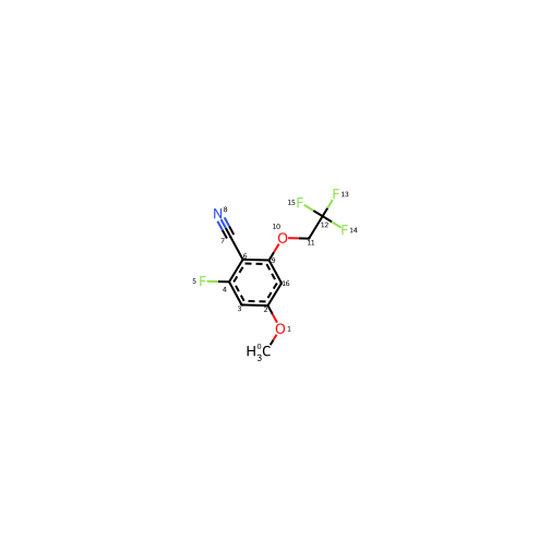 COc1cc(F)c(C#N)c(OCC(F)(F)F)c1